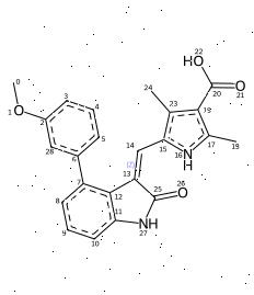 COc1cccc(-c2cccc3c2/C(=C/c2[nH]c(C)c(C(=O)O)c2C)C(=O)N3)c1